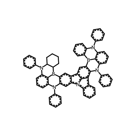 c1ccc(N2c3ccccc3B3c4cc5c6cc7c(cc6n6c8ccccc8c(c4N(c4ccccc4)c4cccc2c43)c56)N(c2ccccc2)c2cccc3c2B7C2CCCCC2N3c2ccccc2)cc1